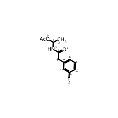 CC(=O)OC(C)NC(=O)Cc1cccc(F)c1